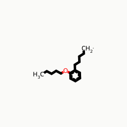 [CH2]CCCCc1ccccc1OCCCCC